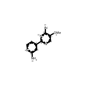 COc1cnc(-c2ccnc(N)c2)nc1C(C)=O